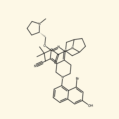 CN1CCC[C@H]1COc1nc(N2C3CCC2CN(C(=O)OC(C)(C)C)C3)c2c(c1C#N)CN(c1cccc3cc(O)cc(Br)c13)CC2